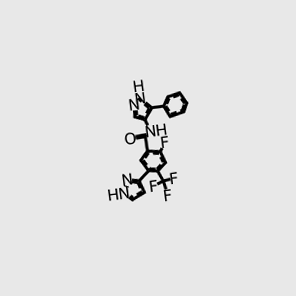 O=C(Nc1cn[nH]c1-c1ccccc1)c1cc(-c2cc[nH]n2)c(C(F)(F)F)cc1F